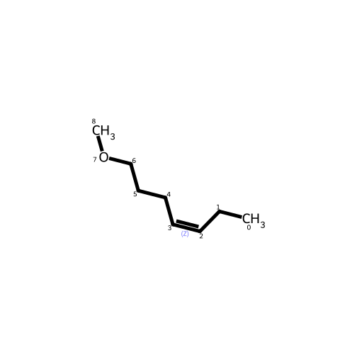 CC/C=C\CCCOC